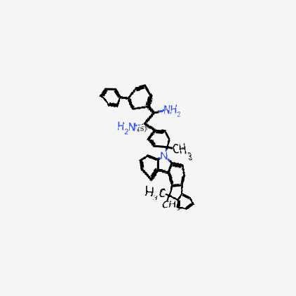 CC1(C)c2ccccc2-c2ccc3c(c21)c1ccccc1n3C1(C)C=CC([C@H](N)C(N)c2cccc(-c3ccccc3)c2)=CC1